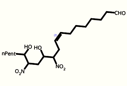 CCCCCC(O)C(CC(O)C(C/C=C\CCCCCCC=O)[N+](=O)[O-])[N+](=O)[O-]